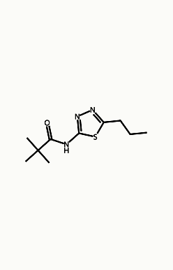 CCCc1nnc(NC(=O)C(C)(C)C)s1